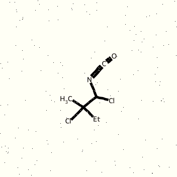 CCC(C)(Cl)C(Cl)N=C=O